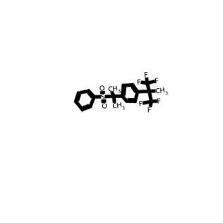 CC(c1ccc(C(C)(C)S(=O)(=O)c2ccccc2)cc1)(C(F)(F)F)C(F)(F)F